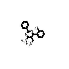 NCc1c(N)nc(-c2ccccc2)nc1-c1ccccc1Cl